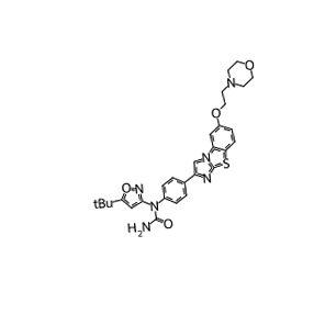 CC(C)(C)c1cc(N(C(N)=O)c2ccc(-c3cn4c(n3)sc3ccc(OCCN5CCOCC5)cc34)cc2)no1